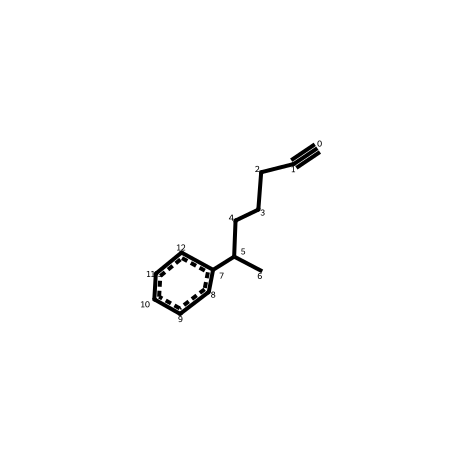 C#CCCCC(C)c1ccccc1